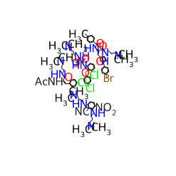 CC(=O)NC(=Cc1ccc(Cl)cc1)C(=O)NCCCN(C)C.CN(C)CCCNC(=O)C(=O)Nc1ccccc1Oc1ccc(Cl)cc1Cl.CN(C)CCCNc1ccc([N+](=O)[O-])c(NCCCN(C)C)c1C#N.Cc1ccc(C(=O)NC(=Cc2ccc(-c3ccc(Br)cc3)o2)C(=O)NCCCN(C)C)cc1